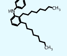 CCCCCCCCc1cccc(Nc2ccccc2)c1CCCCCCCC